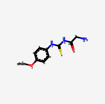 CCCCCOc1ccc(NC(=S)NC(=O)CN)cc1